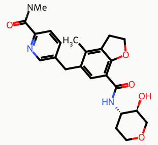 CNC(=O)c1ccc(Cc2cc(C(=O)N[C@H]3CCOC[C@@H]3O)c3c(c2C)CCO3)cn1